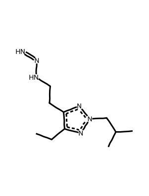 CCc1nn(CC(C)C)nc1CCNN=N